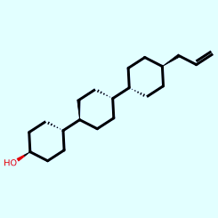 C=CC[C@H]1CC[C@H]([C@H]2CC[C@H]([C@H]3CC[C@H](O)CC3)CC2)CC1